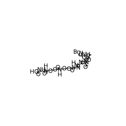 CC(=O)c1nn(CC(=O)N2C3C[C@]3(C)C[C@H]2C(=O)Nc2nc(Br)ccc2C)c2cnc(-c3cnc(CNC(=O)COCCOCCNC(=O)COCCOCCNC(=O)CC[C@H](N)C(=O)O)nc3)cc12